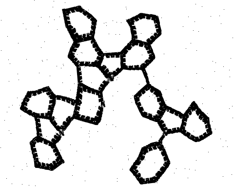 c1ccc(-n2c3ccccc3c3cc(-c4cc5ccccc5c5c6c7ccccc7cc7c8c9c%10cccc%11c%12ccccc%12n(c9cnc8n(c45)c76)c%11%10)ccc32)cc1